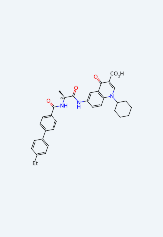 CCc1ccc(-c2ccc(C(=O)N[C@@H](C)C(=O)Nc3ccc4c(c3)c(=O)c(C(=O)O)cn4C3CCCCC3)cc2)cc1